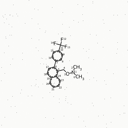 CN(C)OCc1c(-c2ccc(C(F)(F)F)cc2)ccc2ccccc12